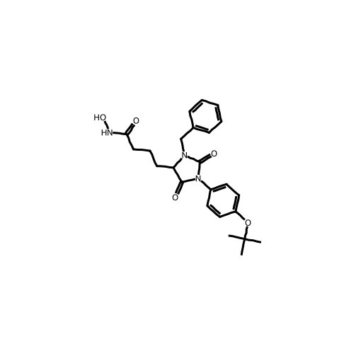 CC(C)(C)Oc1ccc(N2C(=O)C(CCCC(=O)NO)N(Cc3ccccc3)C2=O)cc1